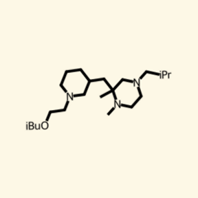 CC(C)COCCN1CCCC(CC2(C)CN(CC(C)C)CCN2C)C1